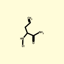 C=CCC(NCC)C(N)=O